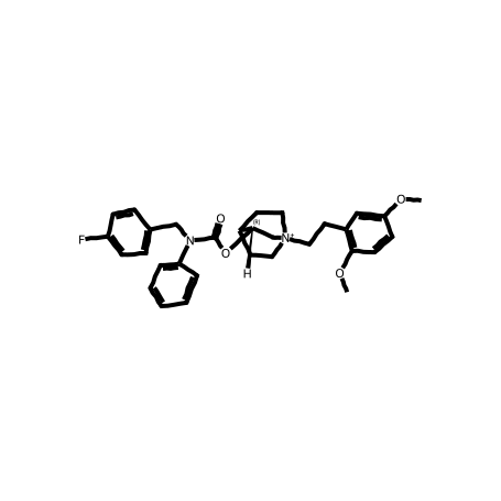 COc1ccc(OC)c(CC[N+]23CCC(CC2)[C@@H](OC(=O)N(Cc2ccc(F)cc2)c2ccccc2)C3)c1